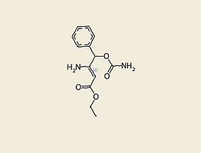 CCOC(=O)/C=C(\N)C(OC(N)=O)c1ccccc1